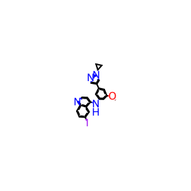 COc1cc(Nc2ccnc3ccc(I)cc23)cc(-c2cnn(C3CC3)c2)c1